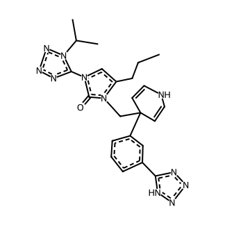 CCCc1cn(-c2nnnn2C(C)C)c(=O)n1CC1(c2cccc(-c3nnn[nH]3)c2)C=CNC=C1